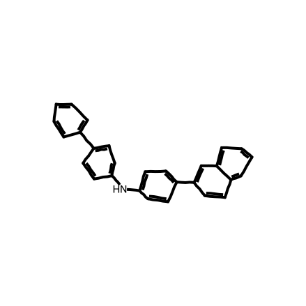 c1ccc(-c2ccc(Nc3ccc(-c4ccc5ccccc5c4)cc3)cc2)cc1